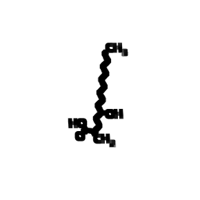 C=C(CCC(O)CCCCCCCCCC)C(=O)O